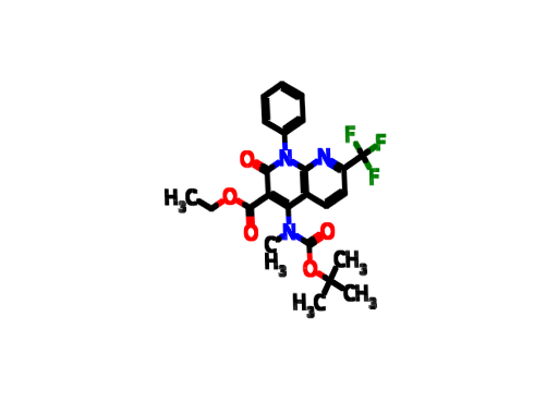 CCOC(=O)c1c(N(C)C(=O)OC(C)(C)C)c2ccc(C(F)(F)F)nc2n(-c2ccccc2)c1=O